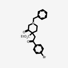 CCOC(=O)C1(CC(=O)c2ccc(Br)cc2)CCN(Cc2ccccc2)CC1=O